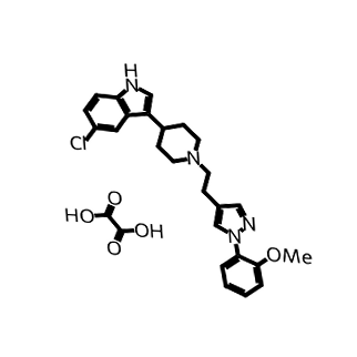 COc1ccccc1-n1cc(CCN2CCC(c3c[nH]c4ccc(Cl)cc34)CC2)cn1.O=C(O)C(=O)O